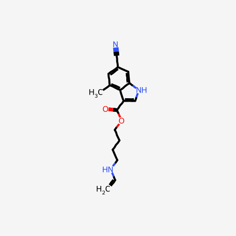 C=CNCCCCOC(=O)c1c[nH]c2cc(C#N)cc(C)c12